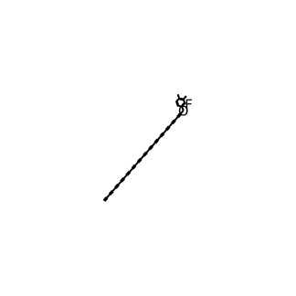 C#CC#CC#CC#CC#CC#CC#CC#CC#CC#CC#CC#CC#CC#COc1ccc(C)c(C)c1F